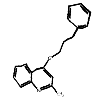 Cc1cc(OCCCc2ccccc2)c2ccccc2n1